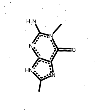 Cc1nc2c(=O)n(C)c(N)nc2[nH]1